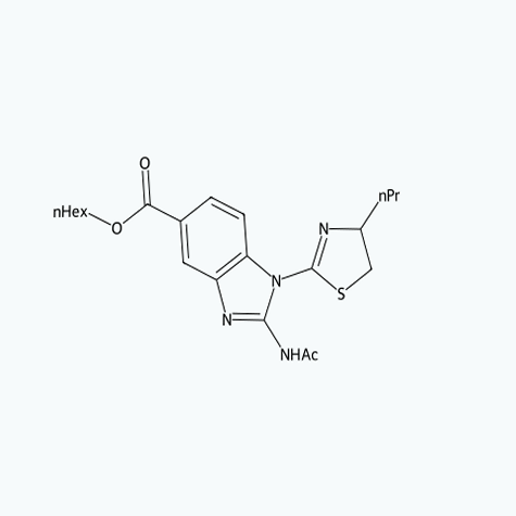 CCCCCCOC(=O)c1ccc2c(c1)nc(NC(C)=O)n2C1=NC(CCC)CS1